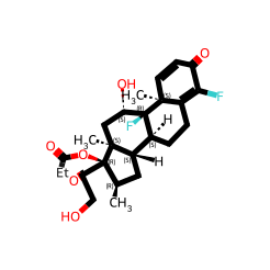 CCC(=O)O[C@]1(C(=O)CO)[C@H](C)C[C@H]2[C@@H]3CCC4=C(F)C(=O)C=C[C@]4(C)[C@@]3(F)[C@@H](O)C[C@@]21C